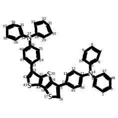 c1ccc(N(c2ccccc2)c2ccc(-c3csc4c3sc3c(-c5ccc(N(c6ccccc6)c6ccccc6)cc5)csc34)cc2)cc1